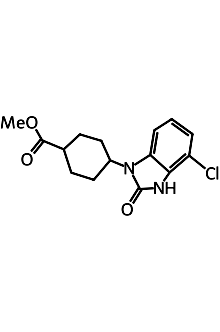 COC(=O)C1CCC(n2c(=O)[nH]c3c(Cl)cccc32)CC1